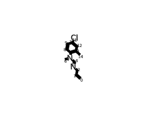 C=CCN=CN(C)c1ccc(Cl)cc1C